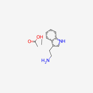 CC.CC(=O)O.NCCc1c[nH]c2ccccc12